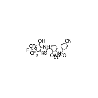 CCN(C(=O)c1ccc(C#N)cc1)c1cccc(C(=O)Nc2c(O)cc(C(F)(C(F)(F)F)C(F)(F)F)cc2Br)c1OC